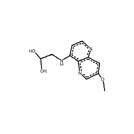 COc1cnc2c(NCC(O)O)ccnc2c1